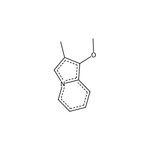 COc1c(C)cn2ccccc12